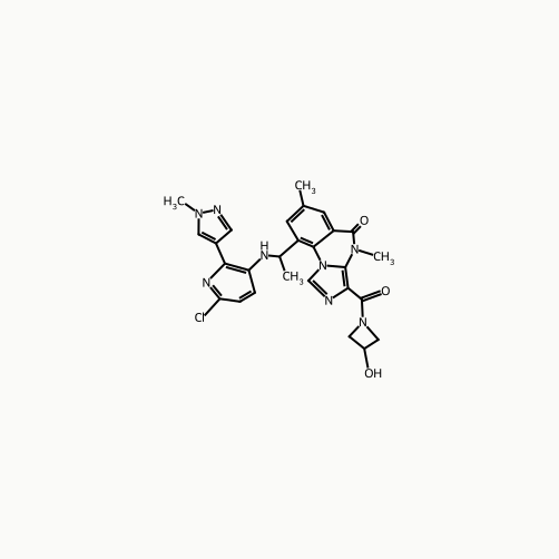 Cc1cc(C(C)Nc2ccc(Cl)nc2-c2cnn(C)c2)c2c(c1)c(=O)n(C)c1c(C(=O)N3CC(O)C3)ncn21